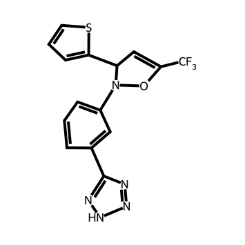 FC(F)(F)C1=CC(c2cccs2)N(c2cccc(-c3nn[nH]n3)c2)O1